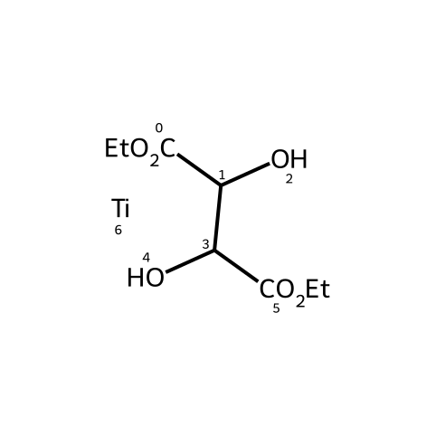 CCOC(=O)C(O)C(O)C(=O)OCC.[Ti]